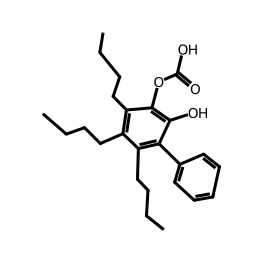 CCCCc1c(CCCC)c(OC(=O)O)c(O)c(-c2ccccc2)c1CCCC